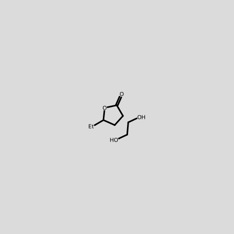 CCC1CCC(=O)O1.OCCO